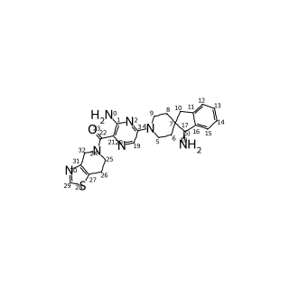 Nc1nc(N2CCC3(CC2)Cc2ccccc2[C@H]3N)cnc1C(=O)N1CCc2scnc2C1